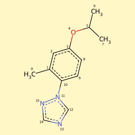 Cc1cc(OC(C)C)ccc1-n1cncn1